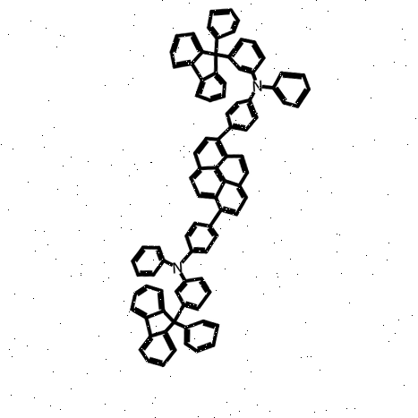 c1ccc(N(c2ccc(-c3ccc4ccc5c(-c6ccc(N(c7ccccc7)c7cccc(C8(c9ccccc9)c9ccccc9-c9ccccc98)c7)cc6)ccc6ccc3c4c65)cc2)c2cccc(C3(c4ccccc4)c4ccccc4-c4ccccc43)c2)cc1